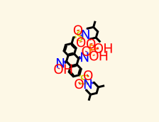 CC1CC(C)CN(S(=O)(=O)Cc2ccc3c(c2)/C(=N\OP(=O)(O)O)c2cc(S(=O)(=O)N4CC(C)CC(C)C4)ccc2/C3=N\O)C1